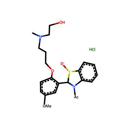 COc1ccc(OCCCN(C)CCO)c(C2N(C(C)=O)c3ccccc3[S+]2[O-])c1.Cl